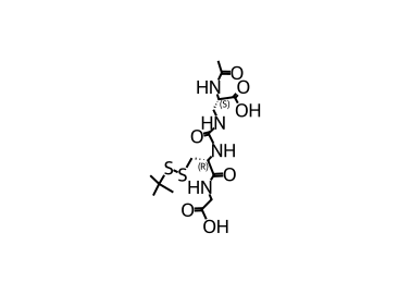 CC(=O)N[C@@H](CNC(=O)N[C@@H](CSSC(C)(C)C)C(=O)NCC(=O)O)C(=O)O